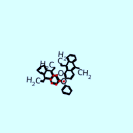 C=Cc1c2ccccc2c(C=C)c2c(Oc3c(Oc4ccccc4)ccc4c(C=C)c5ccccc5c(C=C)c34)c(Oc3ccccc3)ccc12